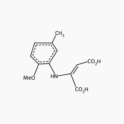 COc1ccc(C)cc1NC(=CC(=O)O)C(=O)O